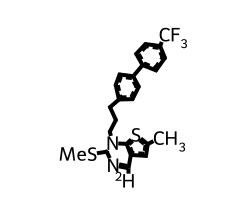 [2H]C1=NC(SC)N(CCCc2ccc(-c3ccc(C(F)(F)F)cc3)cc2)c2sc(C)cc21